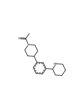 CC(=O)N1CCC(c2cccc(C3CCCCN3)c2)CC1